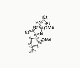 CCc1nc(NC(CC)CC)c(OC)nc1-c1ccc(C(C)C)cc1OC